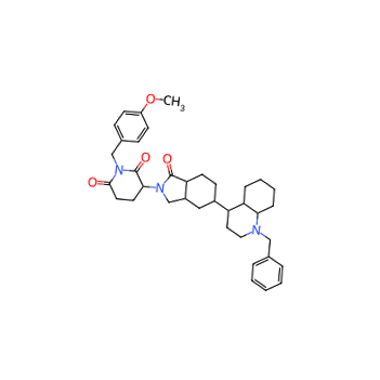 COc1ccc(CN2C(=O)CCC(N3CC4CC(C5CCN(Cc6ccccc6)C6CCCCC56)CCC4C3=O)C2=O)cc1